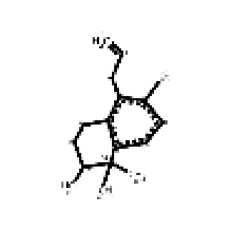 C=CCc1c(CC)ccc2c1CCC(O)C2(C)C